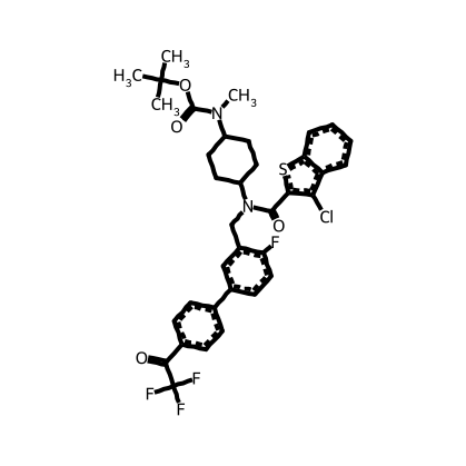 CN(C(=O)OC(C)(C)C)C1CCC(N(Cc2cc(-c3ccc(C(=O)C(F)(F)F)cc3)ccc2F)C(=O)c2sc3ccccc3c2Cl)CC1